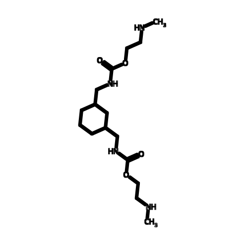 CNCCOC(=O)NCC1CCCC(CNC(=O)OCCNC)C1